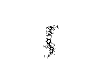 Cc1nnc(-c2cnc(Oc3ccc(C(C)(C)c4ccc(OC5CC(N)C5)cc4)cc3)o2)o1